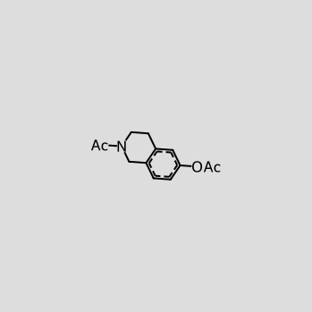 CC(=O)Oc1ccc2c(c1)CCN(C(C)=O)C2